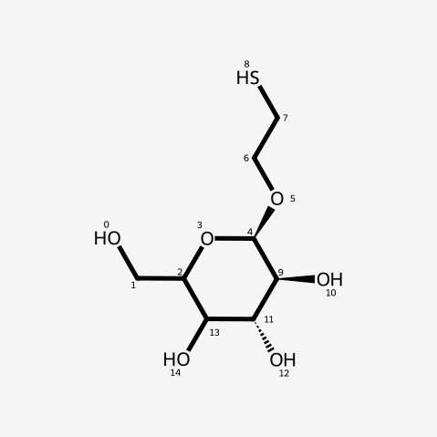 OCC1O[C@@H](OCCS)[C@@H](O)[C@H](O)C1O